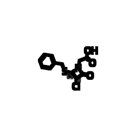 O=C(O)CN1C(=O)[C@H](Cl)[C@H]1SCc1ccccc1